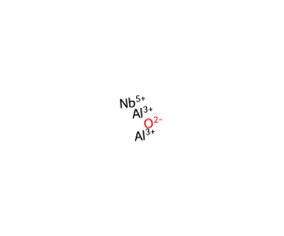 [Al+3].[Al+3].[Nb+5].[O-2]